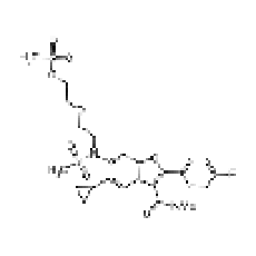 CNC(=O)c1c(-c2ccc(F)cc2)oc2cc(N(CCOCCOS(C)(=O)=O)S(C)(=O)=O)c(C3CC3)cc12